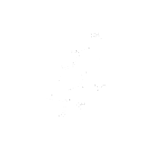 NC(=S)Nc1ccc(P(=O)(O)O)cc1.[NaH]